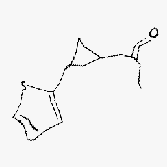 CC(=O)C1CC1c1cccs1